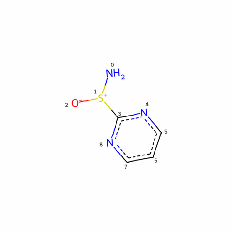 N[S+]([O-])c1ncccn1